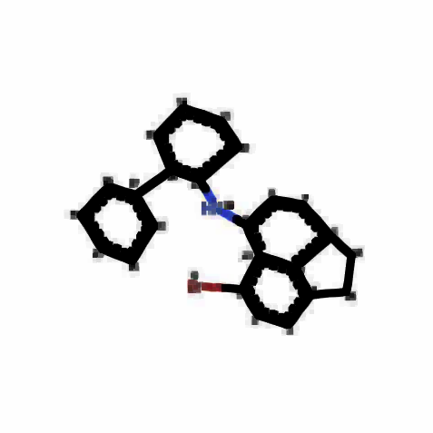 Brc1ccc2c3c(ccc(Nc4ccccc4-c4ccccc4)c13)CC2